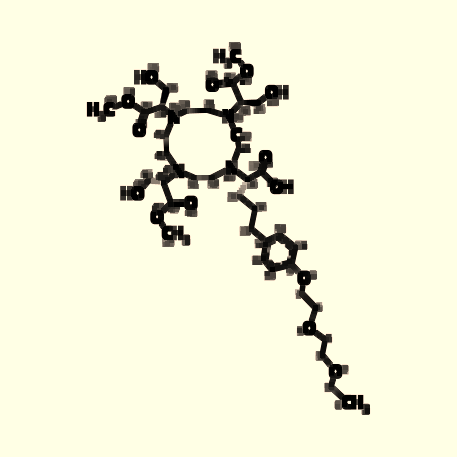 CCOCCOCCOc1ccc(CCC[C@@H](C(=O)O)N2CCN([C@H](CO)C(=O)OC)CCN([C@H](CO)C(=O)OC)CCN([C@@H](CO)C(=O)OC)CC2)cc1